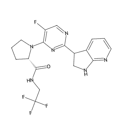 O=C(NCC(F)(F)F)[C@@H]1CCCN1c1nc(C2CNc3ncccc32)ncc1F